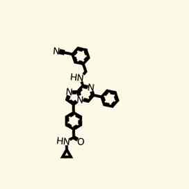 N#Cc1cccc(CNc2nc(-c3ccccc3)cn3c(-c4ccc(C(=O)NC5CC5)cc4)cnc23)c1